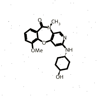 COc1cccc2c1Oc1cc(N[C@H]3CC[C@H](O)CC3)ncc1N(C)C2=O